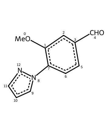 COc1cc(C=O)ccc1-n1cccn1